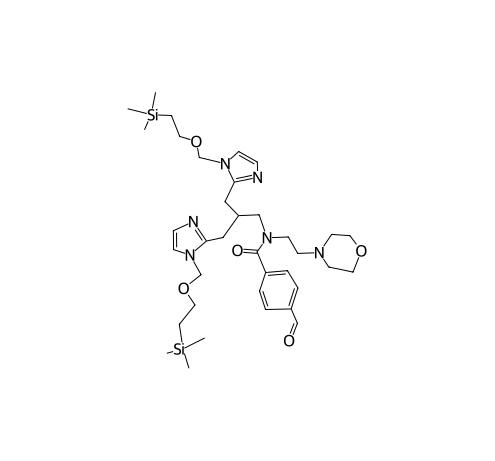 C[Si](C)(C)CCOCn1ccnc1CC(Cc1nccn1COCC[Si](C)(C)C)CN(CCN1CCOCC1)C(=O)c1ccc(C=O)cc1